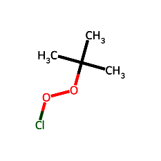 CC(C)(C)OOCl